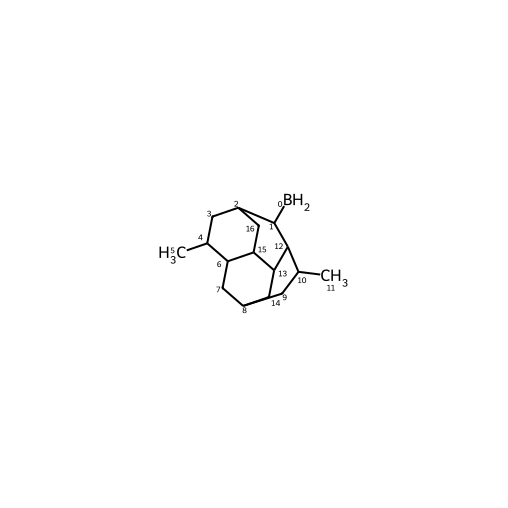 BC1C2CC(C)C3CC4CC(C)C1C(C4)C3C2